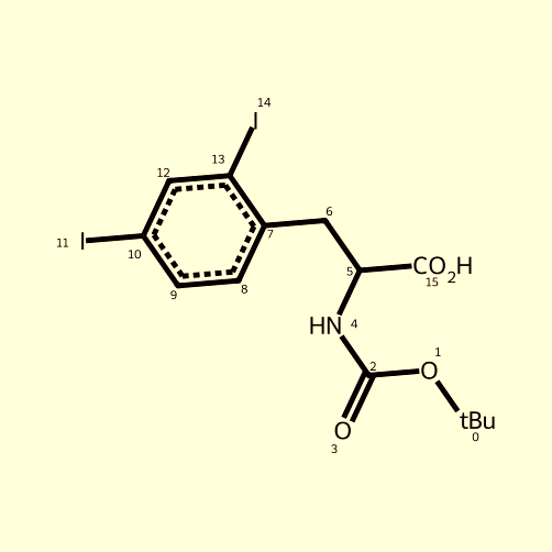 CC(C)(C)OC(=O)NC(Cc1ccc(I)cc1I)C(=O)O